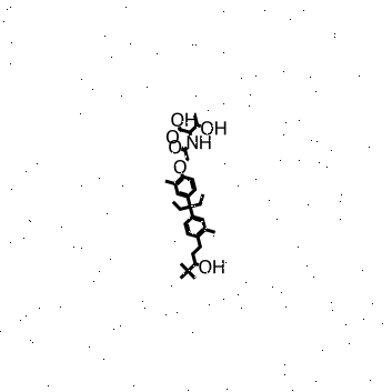 CCC(CC)(c1ccc(CCC(O)C(C)(C)C)c(C)c1)c1ccc(OCC(=O)NC(C(=O)O)C(C)O)c(C)c1